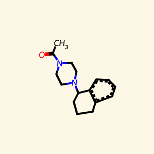 CC(=O)N1CCN(C2CCCc3ccccc32)CC1